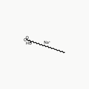 CCCCCCCCCCCCCCCCCCCCCCCC(O)C=CC(=O)[O-].[Na+]